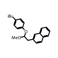 CCC(C)c1ccc(OC(Cc2ccc3ccccc3c2)OC)cc1